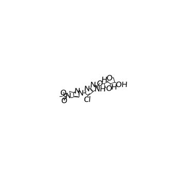 CS(=O)(=O)N1Cc2cn(-c3nc4nc(O[C@@H]5CO[C@H]6[C@@H]5OC[C@H]6O)[nH]c4cc3Cl)nc2C1